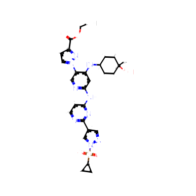 CCOC(=O)c1ccn(-c2cnc(Nc3ccnc(-c4cnn(S(=O)(=O)C5CC5)c4)n3)cc2NC2CCC(C)(O)CC2)n1